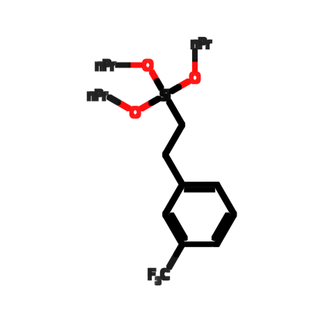 CCCO[Si](CCc1cccc(C(F)(F)F)c1)(OCCC)OCCC